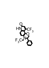 O=c1cc(C(F)(F)F)c2c3c(ccc2[nH]1)N(CC(F)(F)F)C(c1ccccc1)CO3